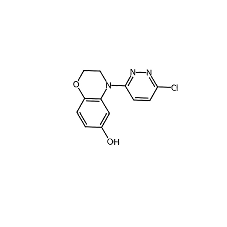 Oc1ccc2c(c1)N(c1ccc(Cl)nn1)CCO2